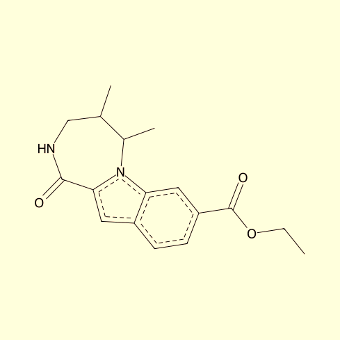 CCOC(=O)c1ccc2cc3n(c2c1)C(C)C(C)CNC3=O